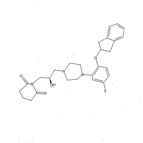 O=C1CCCC(=O)N1C[C@H](O)CN1CCN(c2cc(F)ccc2OC2Cc3ccccc3C2)CC1